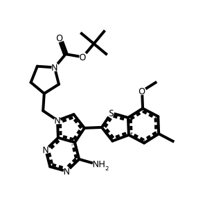 COc1cc(C)cc2cc(-c3cn(CC4CCN(C(=O)OC(C)(C)C)C4)c4ncnc(N)c34)sc12